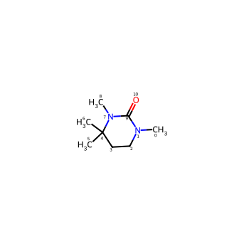 CN1CCC(C)(C)N(C)C1=O